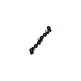 c1ccc2c(c1)ccc1cc(-c3ccc(-c4ccc5c(c4)sc4c6ccc(-c7ccc(-c8cc9ccc%10ccccc%10c9o8)cc7)cc6sc54)cc3)oc12